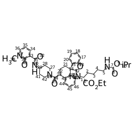 CCOC(=O)[C@@H](CCCCNC(=O)OC(C)C)NC(=O)[C@@]1(c2ccccc2)CC[C@H](C(=O)N2CCC(NC(=O)c3cccn(C)c3=O)CC2)c2ccccc21